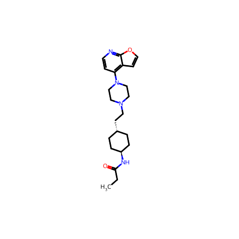 CCC(=O)N[C@H]1CC[C@H](CCN2CCN(c3ccnc4occc34)CC2)CC1